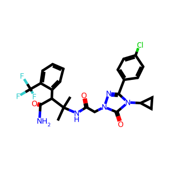 CC(C)(NC(=O)Cn1nc(-c2ccc(Cl)cc2)n(C2CC2)c1=O)C(C(N)=O)c1ccccc1C(F)(F)F